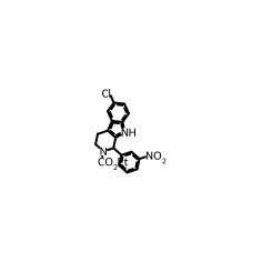 CCOC(=O)N1CCc2c([nH]c3ccc(Cl)cc23)C1c1cccc([N+](=O)[O-])c1